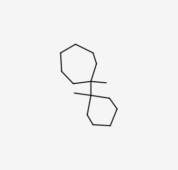 CC1(C2(C)CCCCC2)CCCCCC1